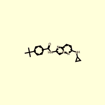 CC(C)(C)c1ccc(C(=O)Nc2cn3nc(NC4CC4)ccc3n2)cc1